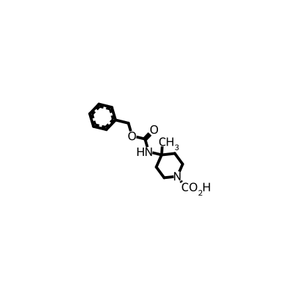 CC1(NC(=O)OCc2ccccc2)CCN(C(=O)O)CC1